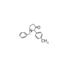 Cc1ccc(C2C(=O)CCCN2Cc2ccccc2)cc1